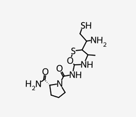 CC1NC(NC(=O)N2CCC[C@@H]2C(N)=O)OSC1C(N)CS